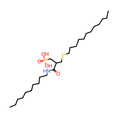 CCCCCCCCCCCCSCC(CP(=O)(O)O)C(=O)NCCCCCCCCCC